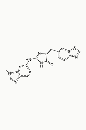 Cn1cnc2ccc(NC3=NC(=Cc4ccc5ncsc5c4)C(=O)N3)cc21